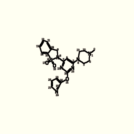 CN1CCN(c2cc(N3Cc4ccccc4S3(=O)=O)nc(Oc3cccnc3)n2)CC1